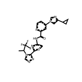 CC(n1cnnc1-c1nc(NC(=O)c2cc(-n3cnc(C4CC4)c3)ccn2)cs1)C(F)(F)F